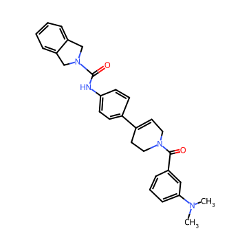 CN(C)c1cccc(C(=O)N2CC=C(c3ccc(NC(=O)N4Cc5ccccc5C4)cc3)CC2)c1